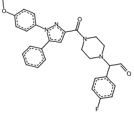 COc1ccc(-n2nc(C(=O)N3CCN(C(C=O)c4ccc(F)cc4)CC3)cc2-c2ccccc2)cc1